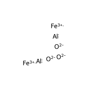 [Al].[Al].[Fe+3].[Fe+3].[O-2].[O-2].[O-2]